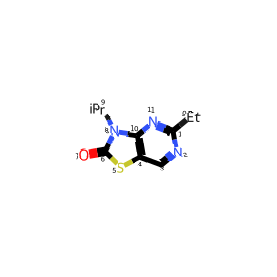 CCc1ncc2sc(=O)n(C(C)C)c2n1